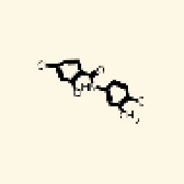 Cc1cc(NC(=O)c2ccc(Cl)cc2Cl)ccc1Cl